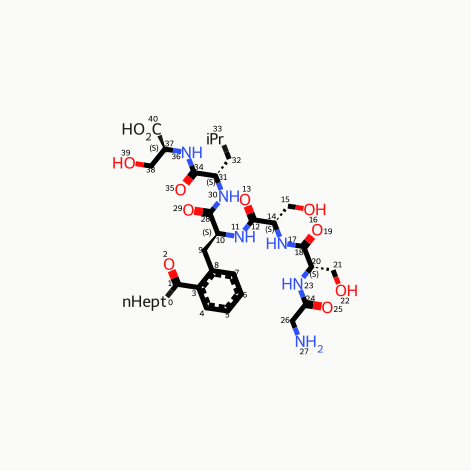 CCCCCCCC(=O)c1ccccc1C[C@H](NC(=O)[C@H](CO)NC(=O)[C@H](CO)NC(=O)CN)C(=O)N[C@@H](CC(C)C)C(=O)N[C@@H](CO)C(=O)O